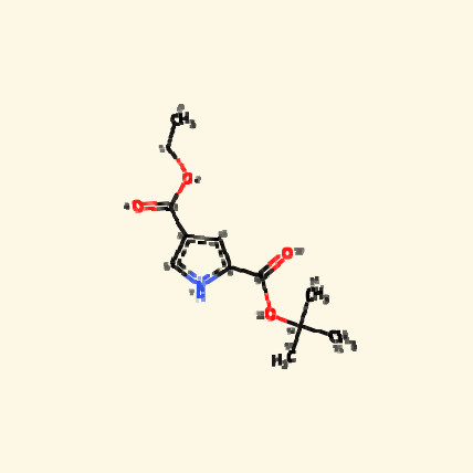 CCOC(=O)c1c[nH]c(C(=O)OC(C)(C)C)c1